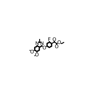 CCOC(=O)C(=O)c1ccc(Oc2nc(C)nc3cc(OC)c(OC)cc23)cc1F